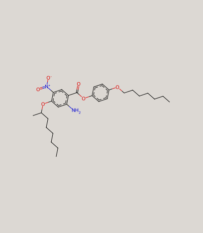 CCCCCCCOc1ccc(OC(=O)c2cc([N+](=O)[O-])c(OC(C)CCCCCC)cc2N)cc1